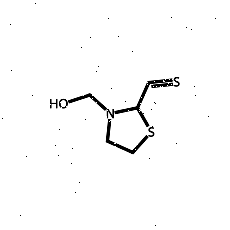 OCN1CCSC1C=S